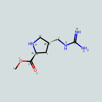 COC(=O)[C@@H]1C[C@@H](CNC(=N)N)CN1